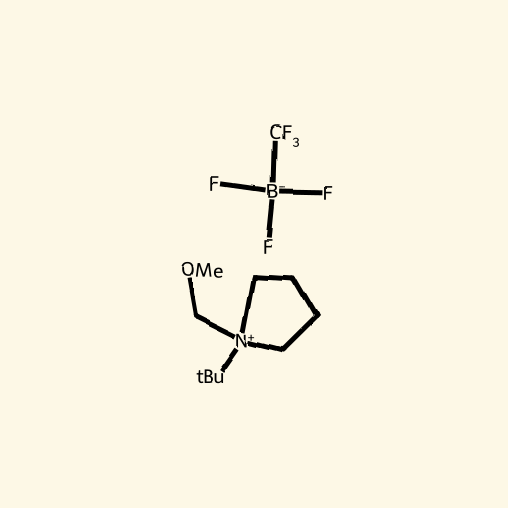 COC[N+]1(C(C)(C)C)CCCC1.F[B-](F)(F)C(F)(F)F